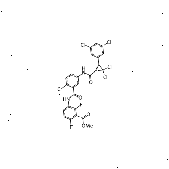 COC(=O)c1c(F)ccc(NC(=O)c2cc(NC(=O)C3C(c4cc(Cl)cc(Cl)c4)C3(Cl)Cl)ccc2Cl)c1F